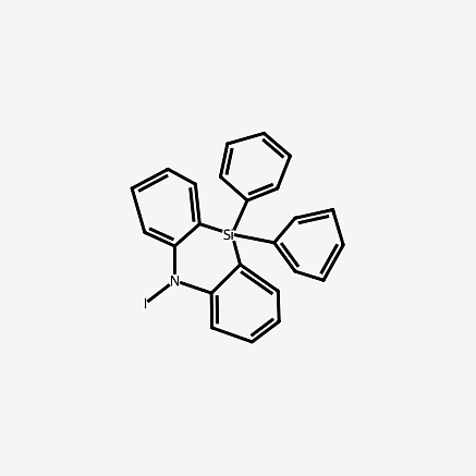 IN1c2ccccc2[Si](c2ccccc2)(c2ccccc2)c2ccccc21